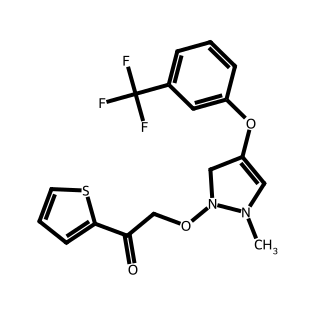 CN1C=C(Oc2cccc(C(F)(F)F)c2)CN1OCC(=O)c1cccs1